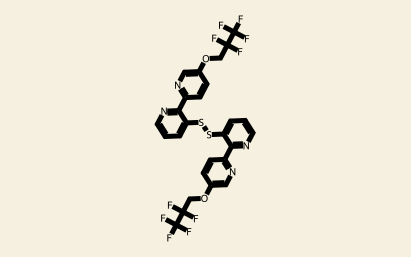 FC(F)(F)C(F)(F)COc1ccc(-c2ncccc2SSc2cccnc2-c2ccc(OCC(F)(F)C(F)(F)F)cn2)nc1